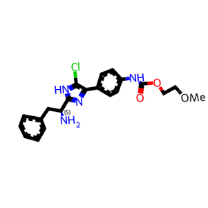 COCCOC(=O)Nc1ccc(-c2nc([C@@H](N)Cc3ccccc3)[nH]c2Cl)cc1